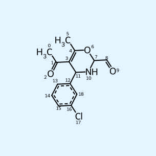 CC(=O)C1=C(C)OC(C=O)NC1c1cccc(Cl)c1